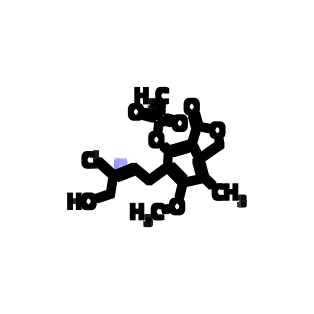 COc1c(C)c2c(c(OS(C)(=O)=O)c1C/C=C(/Cl)CO)C(=O)OC2